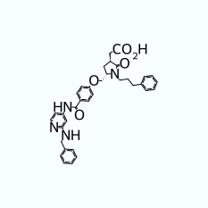 O=C(O)C[C@@H]1C[C@@H](COc2ccc(C(=O)Nc3ccnc(NCc4ccccc4)c3)cc2)N(CCCc2ccccc2)C1=O